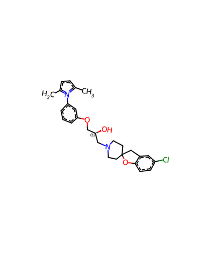 Cc1ccc(C)n1-c1cccc(OC[C@@H](O)CN2CCC3(CC2)Cc2cc(Cl)ccc2O3)c1